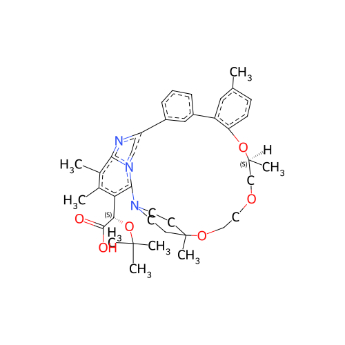 Cc1ccc2c(c1)-c1cccc(c1)-c1cn3c(c([C@H](OC(C)(C)C)C(=O)O)c(C)c(C)c3n1)N1CCC(C)(CC1)OCCOC[C@H](C)O2